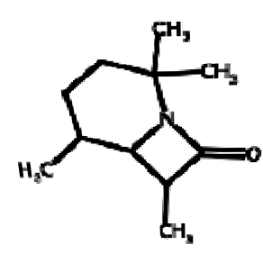 CC1CCC(C)(C)N2C(=O)C(C)C12